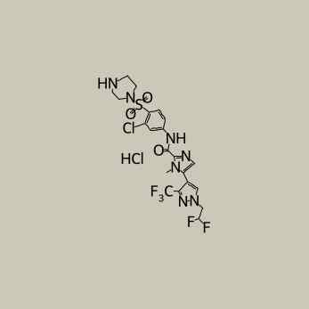 Cl.Cn1c(-c2cn(CC(F)F)nc2C(F)(F)F)cnc1C(=O)Nc1ccc(S(=O)(=O)N2CCNCC2)c(Cl)c1